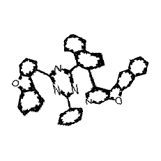 c1ccc(-c2nc(-c3c(-c4cncc5oc6cc7ccccc7cc6c45)ccc4ccccc34)nc(-c3cccc4oc5ccccc5c34)n2)cc1